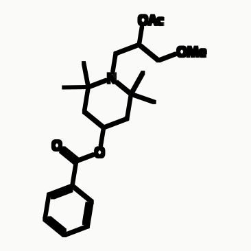 COCC(CN1C(C)(C)CC(OC(=O)c2ccccc2)CC1(C)C)OC(C)=O